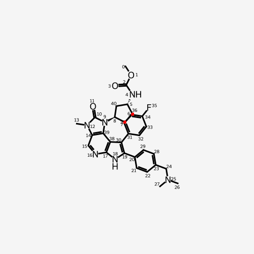 COC(=O)N[C@@H]1CC[C@@H](n2c(=O)n(C)c3cnc4[nH]c(-c5ccc(CN(C)C)cc5)c(-c5ccc(F)cc5)c4c32)C1